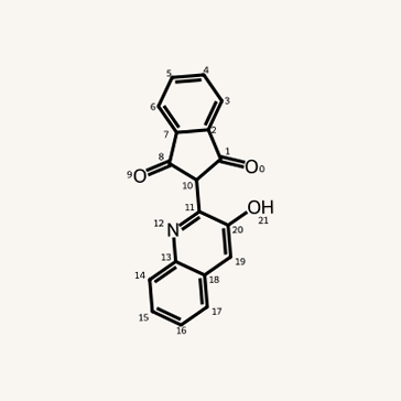 O=C1c2ccccc2C(=O)C1c1nc2ccccc2cc1O